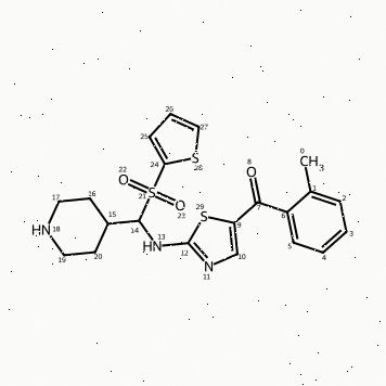 Cc1ccccc1C(=O)c1cnc(NC(C2CCNCC2)S(=O)(=O)c2cccs2)s1